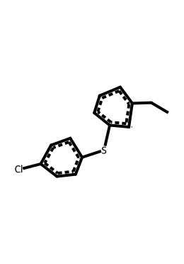 CCc1[c]c(Sc2ccc(Cl)cc2)ccc1